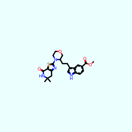 COC(=O)c1ccc2[nH]cc(CCC3COCCN3c3nc4c(s3)C(=O)NC(C)(C)C4)c2c1